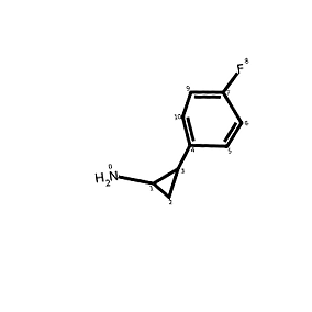 NC1CC1c1ccc(F)cc1